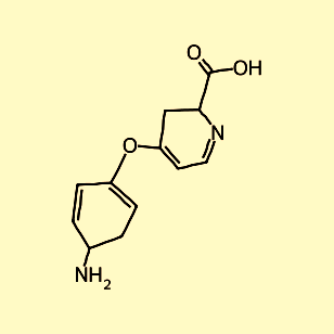 NC1C=CC(OC2=CC=NC(C(=O)O)C2)=CC1